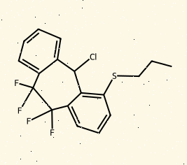 CCCSc1cccc2c1C(Cl)c1ccccc1C(F)(F)C2(F)F